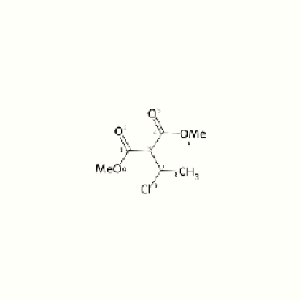 COC(=O)C(C(=O)OC)C(C)Cl